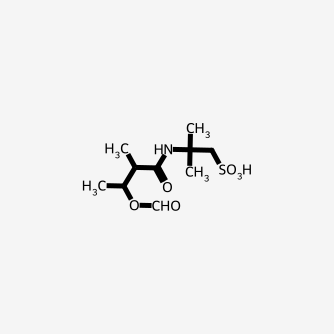 CC(OC=O)C(C)C(=O)NC(C)(C)CS(=O)(=O)O